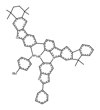 CC(C)(C)c1ccc(Nc2cc3oc4cc5c(cc4c3cc2-c2ccc3c4cc6c(cc4n4c3c2Bc2cc3oc(-c7ccccc7)cc3cc2-4)C(C)(C)c2ccccc2-6)C(C)(C)CCC5(C)C)cc1